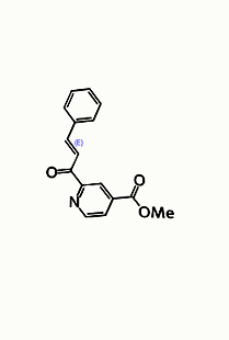 COC(=O)c1ccnc(C(=O)/C=C/c2ccccc2)c1